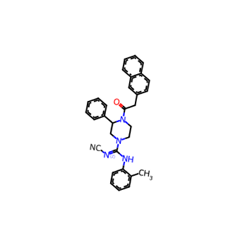 Cc1ccccc1N/C(=N/C#N)N1CCN(C(=O)Cc2ccc3ccccc3c2)C(c2ccccc2)C1